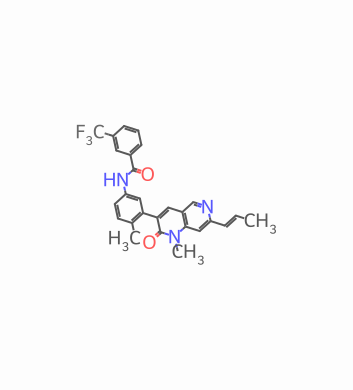 C/C=C/c1cc2c(cn1)cc(-c1cc(NC(=O)c3cccc(C(F)(F)F)c3)ccc1C)c(=O)n2C